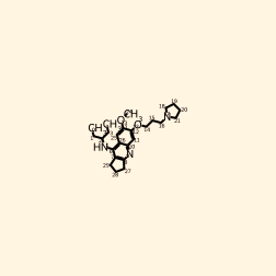 CCC(CC)Nc1c2c(nc3cc(OCCCN4CCCC4)c(OC)cc13)CCC2